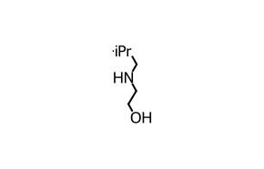 C[C](C)CNCCO